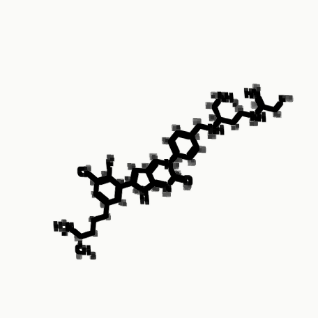 C[C@H](N)CCCc1cc(Cl)c(F)c(-c2cc3cn(-c4ccc(CN[C@@H](CN)CCNC(=N)CF)cc4)c(=O)nc3[nH]2)c1